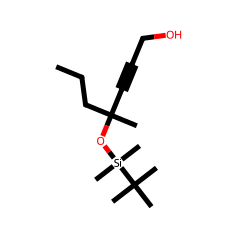 CCCC(C)(C#CCO)O[Si](C)(C)C(C)(C)C